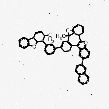 CC1C=CC2c3ccccc3OC2C1c1cccc(C2=CC3=C(CC2)c2c(oc4ccc(-c5ccc6ccccc6c5)cc24)C2C=CC=CC2C3(C)C)c1